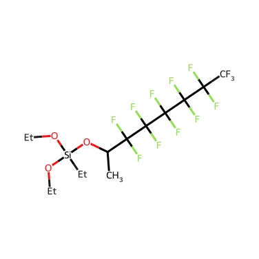 CCO[Si](CC)(OCC)OC(C)C(F)(F)C(F)(F)C(F)(F)C(F)(F)C(F)(F)C(F)(F)F